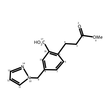 COC(=O)CCc1ccc(Cn2cccn2)cc1C(=O)O